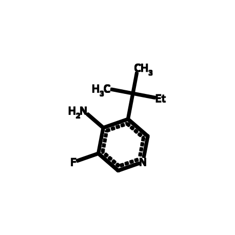 CCC(C)(C)c1cncc(F)c1N